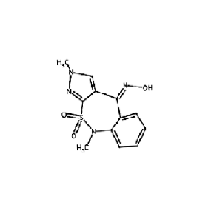 CN1c2ccccc2C(=NO)c2cn(C)nc2S1(=O)=O